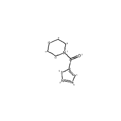 O=C(c1cnns1)N1CC[CH]CC1